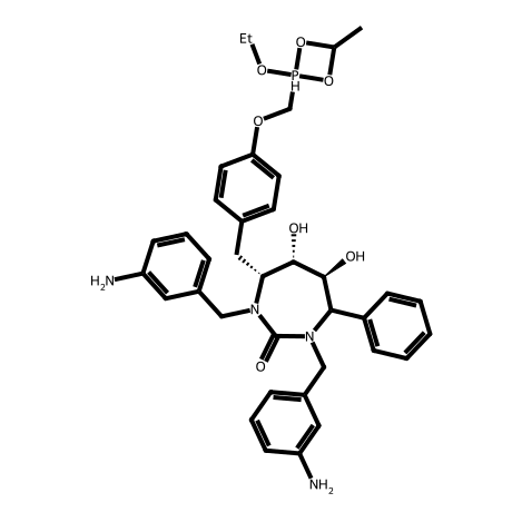 CCO[PH]1(COc2ccc(C[C@@H]3[C@H](O)[C@@H](O)C(c4ccccc4)N(Cc4cccc(N)c4)C(=O)N3Cc3cccc(N)c3)cc2)OC(C)O1